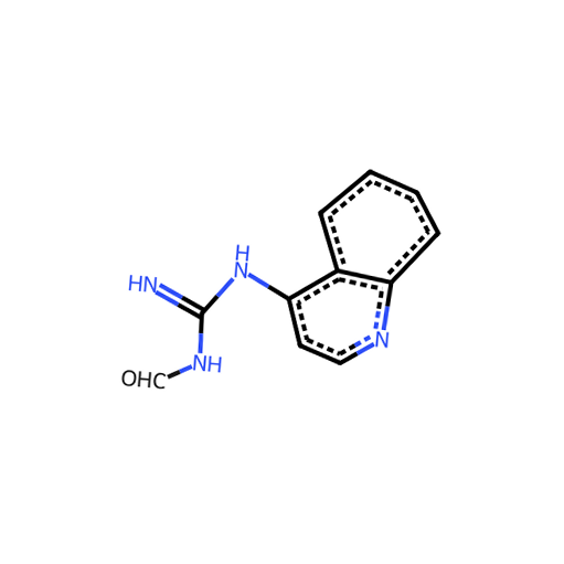 N=C(NC=O)Nc1ccnc2ccccc12